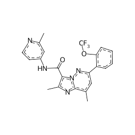 Cc1cc(NC(=O)c2c(C)nc3c(C)cc(-c4ccccc4OC(F)(F)F)nn23)ccn1